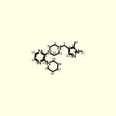 Cc1c(CN2CCN(c3nccnc3N3CCCCC3)CC2)cnn1C